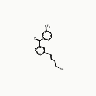 CC(=O)CC/C=C/c1cccc(C(=O)c2cccc(C(F)(F)F)c2)c1